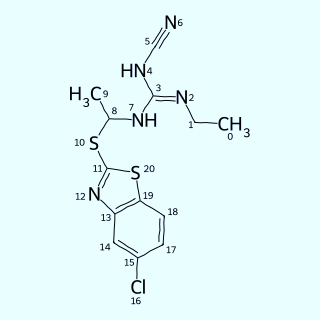 CC/N=C(/NC#N)NC(C)Sc1nc2cc(Cl)ccc2s1